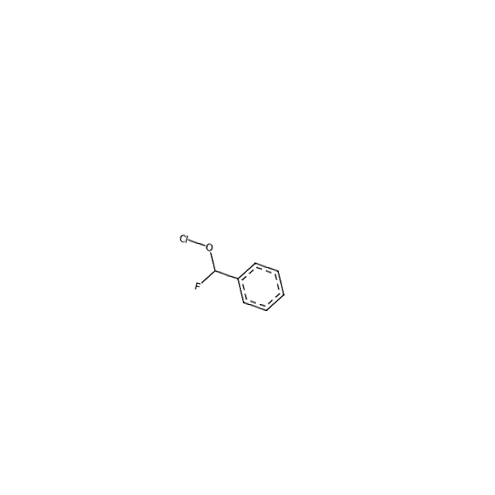 FC(OCl)c1ccccc1